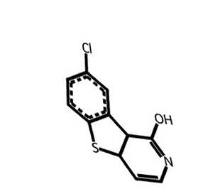 OC1=NC=CC2Sc3ccc(Cl)cc3C12